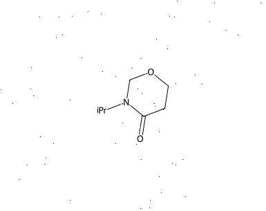 CC(C)N1COCCC1=O